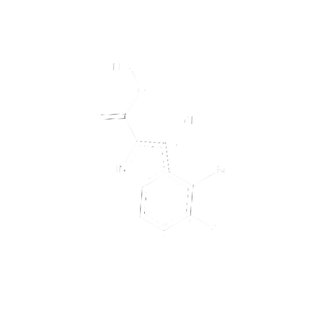 COC(=O)c1[nH]c2ccc(Cl)c(Br)c2c1Cl